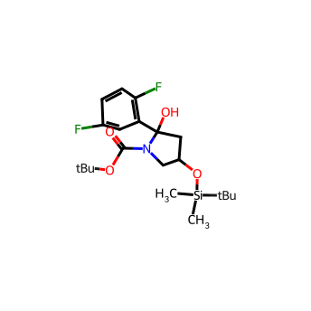 CC(C)(C)OC(=O)N1CC(O[Si](C)(C)C(C)(C)C)CC1(O)c1cc(F)ccc1F